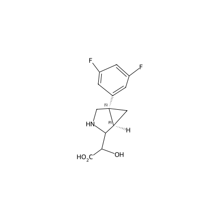 O=C(O)C(O)C1NC[C@@]2(c3cc(F)cc(F)c3)C[C@@H]12